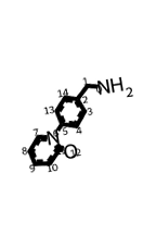 NCc1ccc(-n2ccccc2=O)cc1